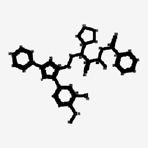 COc1ccc(-c2nc(-c3ccncc3)nn2CCN(C(=O)C(C)CC(=O)c2ccccc2)C2CCCC2)cc1Cl